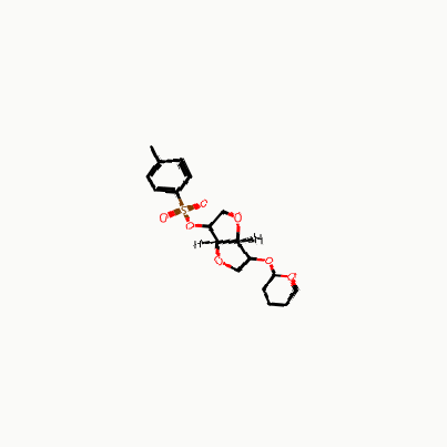 Cc1ccc(S(=O)(=O)OC2CO[C@@H]3C(OC4CCCCO4)CO[C@H]23)cc1